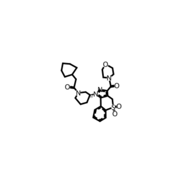 O=C(CC1CCCCC1)N1CCC[C@H](n2nc(C(=O)N3CCOCC3)c3c2-c2ccccc2S(=O)(=O)C3)C1